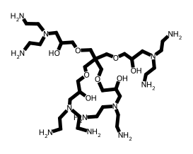 NCCN(CCN)CC(O)COCC(COCC(O)CN(CCN)CCN)(COCC(O)CN(CCN)CCN)COCC(O)CN(CCN)CCN